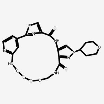 O=C1Nc2cn(C3CCOCC3)nc2C(=O)NCCOCCNc2cc(ccn2)-c2nc1cs2